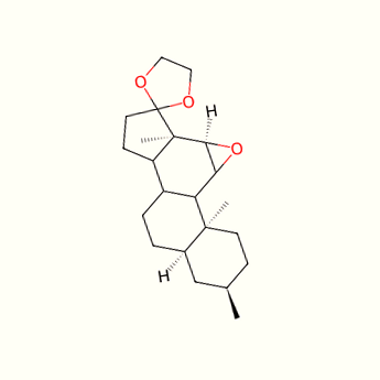 C[C@@H]1CC[C@]2(C)C3C(CC[C@@H]2C1)C1CCC2(OCCO2)[C@@]1(C)[C@H]1OC31